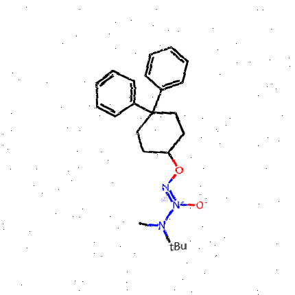 CN(/[N+]([O-])=N/OC1CCC(c2ccccc2)(c2ccccc2)CC1)C(C)(C)C